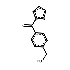 CCc1ccc(C(=O)c2cccs2)cc1